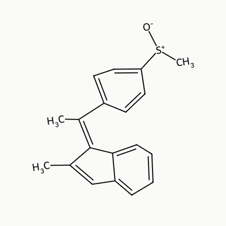 CC1=Cc2ccccc2/C1=C(/C)c1ccc([S+](C)[O-])cc1